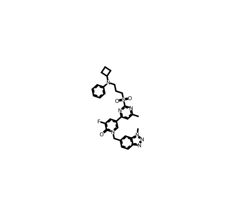 Cc1cc(-c2cc(F)c(=O)n(Cc3ccc4nnn(C)c4c3)c2)nc(S(=O)(=O)CCCN(c2ccccc2)C2CCC2)n1